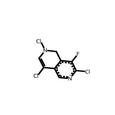 Fc1c(Cl)ncc2c1CN(Cl)C=C2Cl